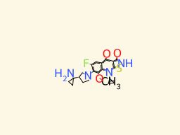 COc1c(N2CC[C@@H](C3(N)CC3)C2)c(F)cc2c(=O)c3c(=O)[nH]sc3n(C3CC3)c12